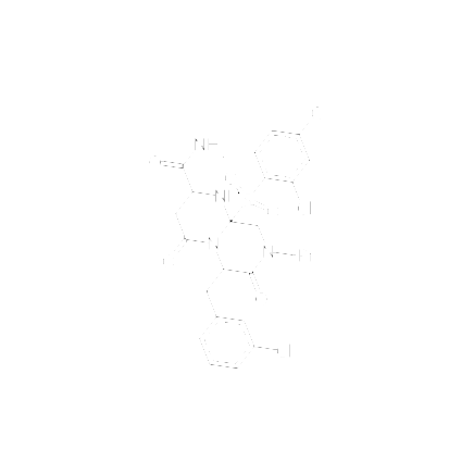 CC(C)N1CC2(S(=O)(=O)c3ccc(Cl)cc3Cl)NC(C(N)=O)[C]C(=O)N2C(Cc2cccc(Cl)c2)C1=O